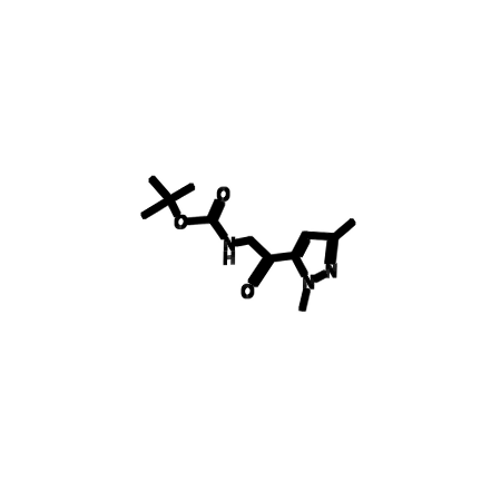 Cc1cc(C(=O)CNC(=O)OC(C)(C)C)n(C)n1